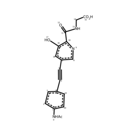 CC(=O)Nc1ccc(C#Cc2cnc(C(=O)NCC(=O)O)c(O)c2)cc1